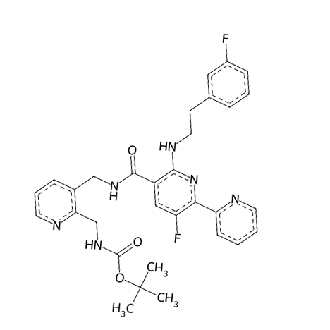 CC(C)(C)OC(=O)NCc1ncccc1CNC(=O)c1cc(F)c(-c2ccccn2)nc1NCCc1cccc(F)c1